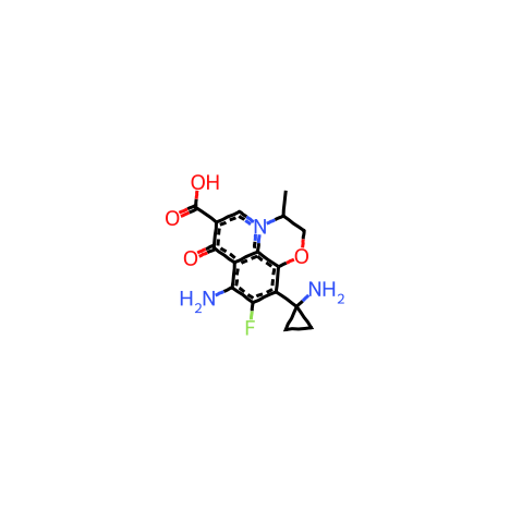 CC1COc2c(C3(N)CC3)c(F)c(N)c3c(=O)c(C(=O)O)cn1c23